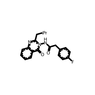 CC(C)Cc1nc2ccccc2c(=O)n1NC(=O)Cc1ccc(F)cc1